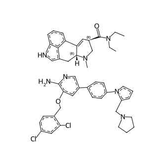 CCN(CC)C(=O)[C@@H]1C=C2c3cccc4[nH]cc(c34)C[C@H]2N(C)C1.Nc1ncc(-c2ccc(-n3cccc3CN3CCCC3)cc2)cc1OCc1ccc(Cl)cc1Cl